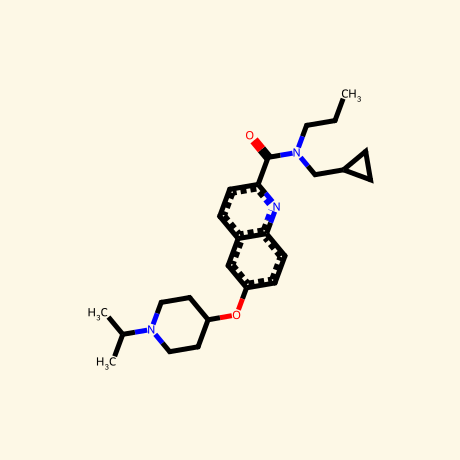 CCCN(CC1CC1)C(=O)c1ccc2cc(OC3CCN(C(C)C)CC3)ccc2n1